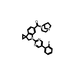 O=C(c1ccc2c(c1)N(c1ncc(-c3ccccc3F)cn1)CC21CC1)N1CCN2CCC1C2